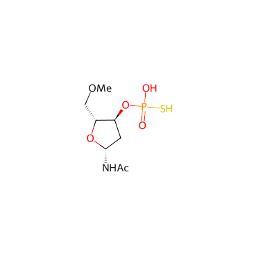 COC[C@H]1O[C@@H](NC(C)=O)C[C@@H]1OP(=O)(O)S